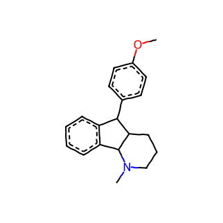 COc1ccc(C2c3ccccc3C3C2CCCN3C)cc1